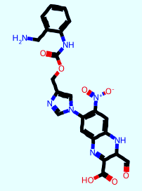 NCc1ccccc1NC(=O)OCc1cn(-c2cc3c(cc2[N+](=O)[O-])NC(C=O)C(C(=O)O)=N3)cn1